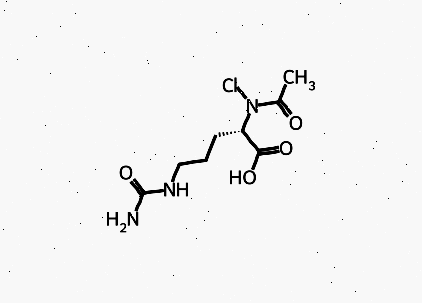 CC(=O)N(Cl)[C@@H](CCCNC(N)=O)C(=O)O